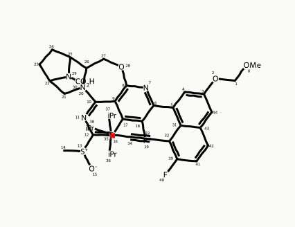 COCOc1cc(-c2nc3c4c(nc([S+](C)[O-])nc4c2F)N2CC4CCC(C2CO3)N4C(=O)O)c2c(C#C[Si](C(C)C)(C(C)C)C(C)C)c(F)ccc2c1